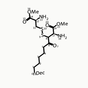 CCCCCCCCCCCCCCCC(=O)C(SSC[C@H](N)C(=O)OC)[C@H](N)C(=O)OC